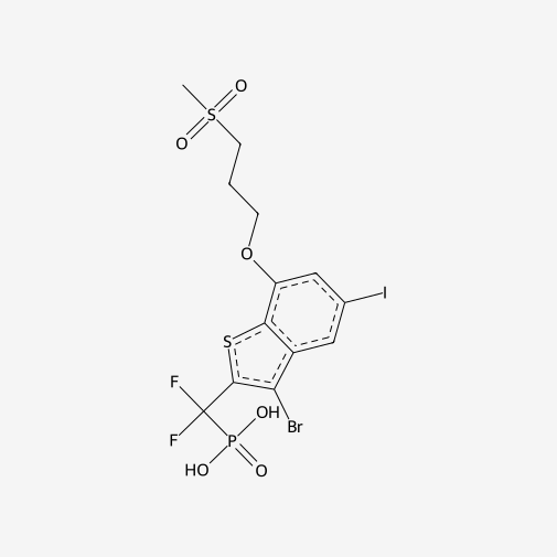 CS(=O)(=O)CCCOc1cc(I)cc2c(Br)c(C(F)(F)P(=O)(O)O)sc12